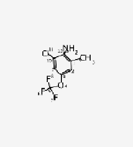 Cc1cc(OC(F)(F)F)cc(Cl)c1N